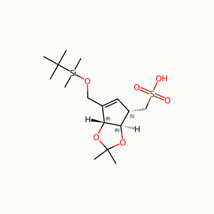 CC1(C)O[C@@H]2[C@@H](CS(=O)(=O)O)C=C(CO[Si](C)(C)C(C)(C)C)[C@H]2O1